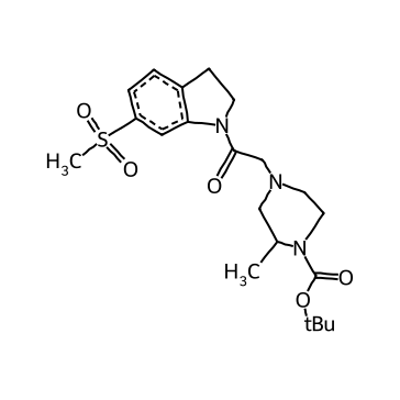 CC1CN(CC(=O)N2CCc3ccc(S(C)(=O)=O)cc32)CCN1C(=O)OC(C)(C)C